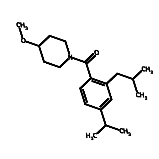 COC1CCN(C(=O)c2ccc(C(C)C)cc2CC(C)C)CC1